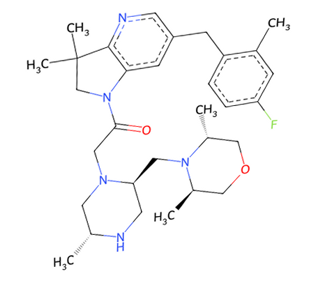 Cc1cc(F)ccc1Cc1cnc2c(c1)N(C(=O)CN1C[C@@H](C)NC[C@@H]1CN1[C@H](C)COC[C@H]1C)CC2(C)C